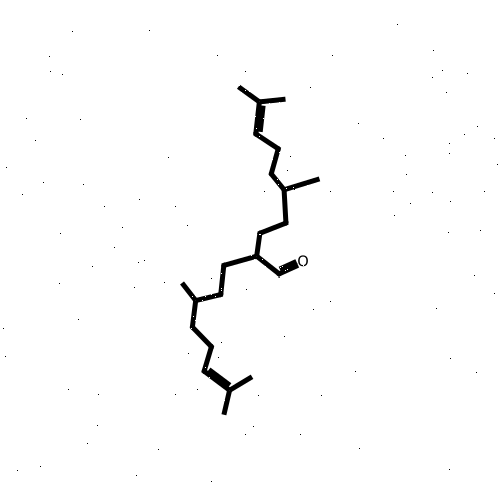 CC(C)=CCCC(C)CCC([C]=O)CCC(C)CCC=C(C)C